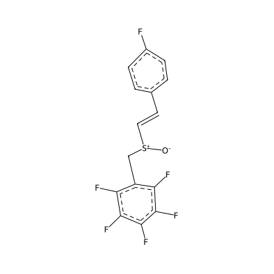 [O-][S+](/C=C/c1ccc(F)cc1)Cc1c(F)c(F)c(F)c(F)c1F